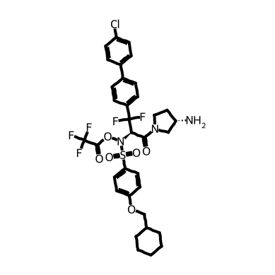 N[C@H]1CCN(C(=O)[C@@H](N(OC(=O)C(F)(F)F)S(=O)(=O)c2ccc(OCC3CCCCC3)cc2)C(F)(F)c2ccc(-c3ccc(Cl)cc3)cc2)C1